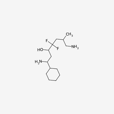 CC(CN)CC(F)(F)C(O)CC(N)C1CCCCC1